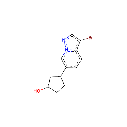 OC1CCC(c2ccc3c(Br)cnn3c2)C1